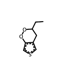 CCC1Cc2cscc2OO1